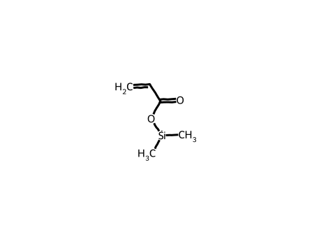 C=CC(=O)O[Si](C)C